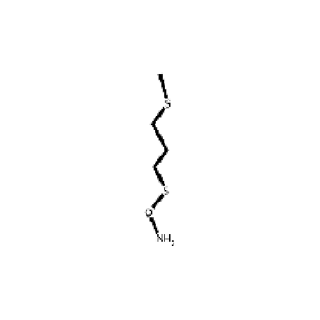 CSCCCSON